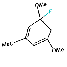 COC1=CC(F)(OC)CC(OC)=C1